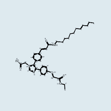 CCCCCCCCCCCCNC(=O)/C=C/c1ccc(-c2c(-c3ccc(OCC(=O)OCC)cc3)ncn2CC(=O)O)cc1